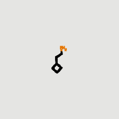 PCCC1CCC1